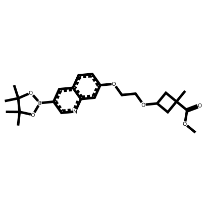 COC(=O)C1(C)CC(OCCOc2ccc3cc(B4OC(C)(C)C(C)(C)O4)cnc3c2)C1